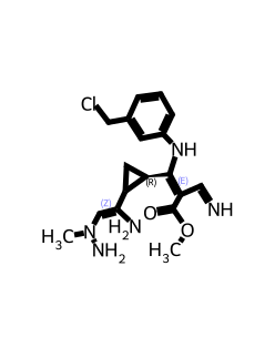 COC(=O)/C(C=N)=C(/Nc1cccc(CCl)c1)[C@@H]1CC1/C(N)=C/N(C)N